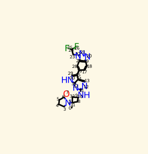 C[C@]1(N2CCCC2=O)C[C@@H](Nc2ncc3c(-c4ccc5nnn(CC(F)F)c5c4)c[nH]c3n2)C1